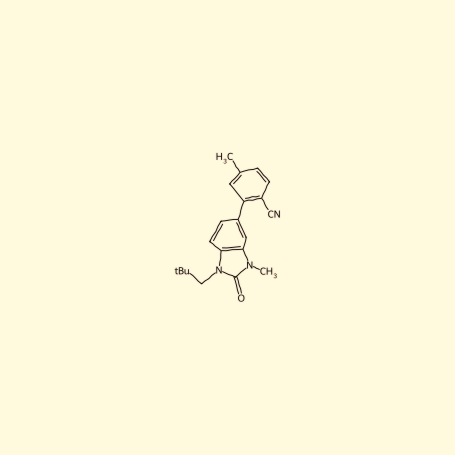 Cc1ccc(C#N)c(-c2ccc3c(c2)n(C)c(=O)n3CC(C)(C)C)c1